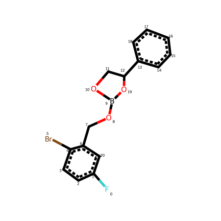 Fc1ccc(Br)c(COB2OCC(c3ccccc3)O2)c1